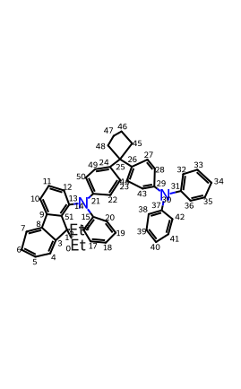 CCC1(CC)c2ccccc2-c2cccc(N(c3ccccc3)c3ccc(C4(c5ccc(N(c6ccccc6)c6ccccc6)cc5)CCCC4)cc3)c21